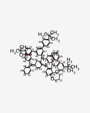 Cc1cc2c3c(c1)N(c1ccc(C(C)(C)C)cc1-c1ccccc1)c1c(ccc4c1OCCCO4)B3C1=C(CC(N(c3ccccc3)c3ccccc3)C=C1)N2c1cc(-c2ccc(C(C)(C)C)cc2)cc(-c2ccc(C(C)(C)C)cc2)c1